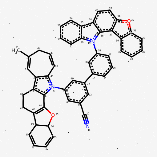 CC1=Cc2c3c(n(-c4cc(C#N)cc(-c5cccc(-n6c7ccccc7c7ccc8oc9ccccc9c8c76)c5)c4)c2C=CC1)C1=C(CC3)C2C=CC=CC2O1